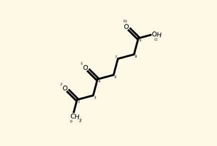 CC(=O)CC(=O)CCCC(=O)O